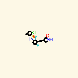 CC1=CCC(Cl)C([S+]([O-])Nc2ccc(F)c(C#Cc3cc[nH]c(=O)c3)c2F)=C1